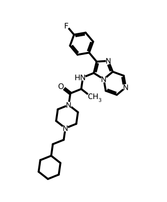 CC(Nc1c(-c2ccc(F)cc2)nc2cnccn12)C(=O)N1CCN(CCC2CCCCC2)CC1